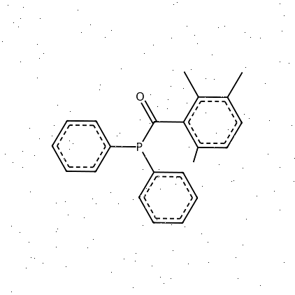 Cc1ccc(C)c(C(=O)P(c2ccccc2)c2ccccc2)c1C